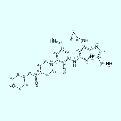 N=Cc1cc(Nc2nc(NC3CC3)c3ncc(C=N)n3n2)c(Cl)c(N2CCN(C(=O)CC3CCOCC3)CC2)c1